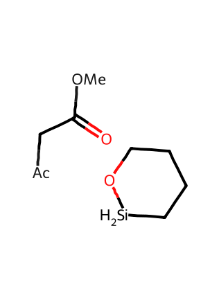 C1CC[SiH2]OC1.COC(=O)CC(C)=O